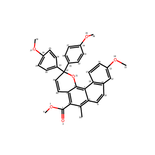 COC(=O)c1c2c(c3c(ccc4cc(OC)ccc43)c1C)OC(c1ccc(OC)cc1)(c1ccc(OC)cc1)C=C2